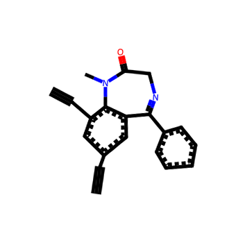 C#Cc1cc(C#C)c2c(c1)C(c1ccccc1)=NCC(=O)N2C